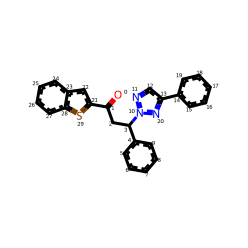 O=C(CC(c1ccccc1)n1ncc(-c2ccccc2)n1)c1cc2ccccc2s1